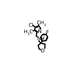 Cc1cnc(CNCC2(c3ccc(F)cc3)CCOCC2)c(C)c1Cl